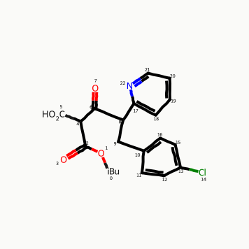 CCC(C)OC(=O)C(C(=O)O)C(=O)C(Cc1ccc(Cl)cc1)c1ccccn1